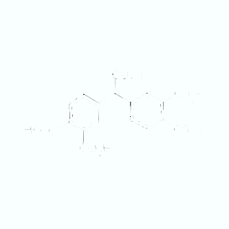 O=C(O)c1ccc(C(C(=O)O)c2ccc(C(=O)O)c(C(=O)O)c2)cc1C(=O)O